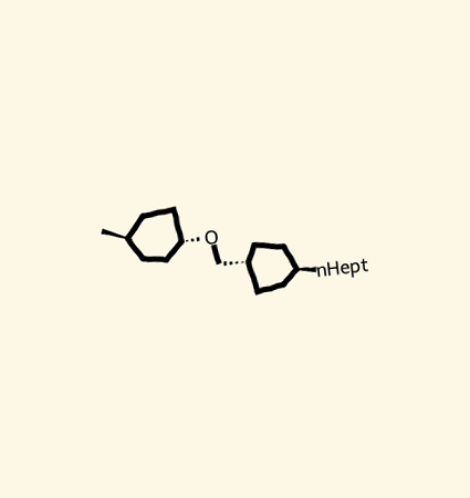 CCCCCCC[C@H]1CC[C@H](CO[C@H]2CC[C@H](C)CC2)CC1